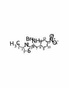 CCC1CSC([C@H](Cc2ccc([N+](=O)[O-])cc2)NBr)=N1